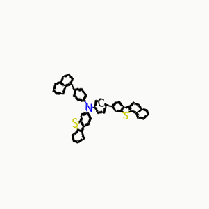 c1ccc2c(-c3ccc(N(c4ccc(-c5ccc6c(c5)sc5c7ccccc7ccc65)cc4)c4ccc5c(c4)sc4ccccc45)cc3)cccc2c1